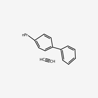 C#C.CCCc1ccc(-c2ccccc2)cc1